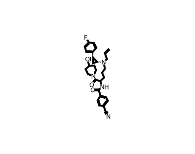 C=CCN(CCCC(NC(=O)c1ccc(C#N)cc1)C(=O)N1CCC(O)CC1)[C@@H]1C[C@H]1c1ccc(F)cc1